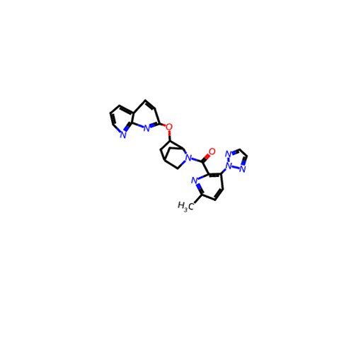 Cc1ccc(-n2nccn2)c(C(=O)N2CC3CC(Oc4ccc5cccnc5n4)C2C3)n1